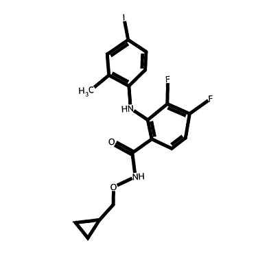 Cc1cc(I)ccc1Nc1c(C(=O)NOCC2CC2)ccc(F)c1F